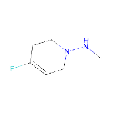 CNN1CC=C(F)CC1